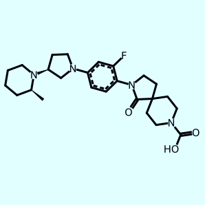 C[C@H]1CCCCN1[C@H]1CCN(c2ccc(N3CCC4(CCN(C(=O)O)CC4)C3=O)c(F)c2)C1